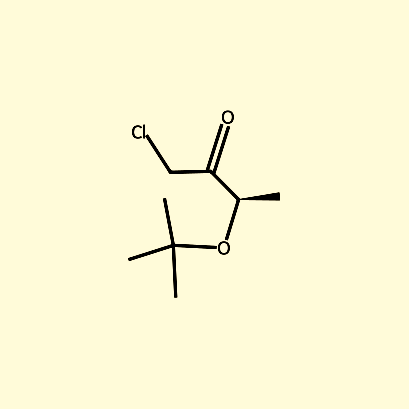 C[C@@H](OC(C)(C)C)C(=O)CCl